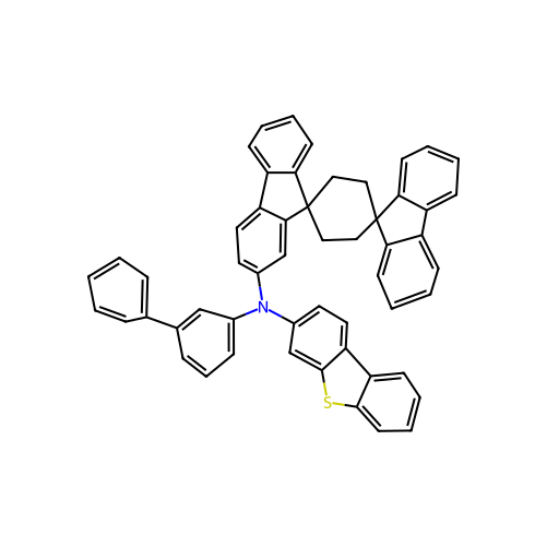 c1ccc(-c2cccc(N(c3ccc4c(c3)C3(CCC5(CC3)c3ccccc3-c3ccccc35)c3ccccc3-4)c3ccc4c(c3)sc3ccccc34)c2)cc1